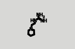 N=C(N)NCCN1CCCCC1